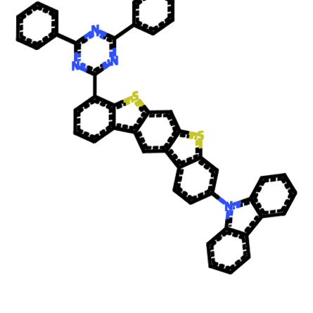 c1ccc(-c2nc(-c3ccccc3)nc(-c3cccc4c3sc3cc5sc6cc(-n7c8ccccc8c8ccccc87)ccc6c5cc34)n2)cc1